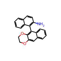 Nc1ccc2ccccc2c1-c1c2c(cc3ccccc13)OCCO2